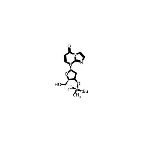 CC(C)(C)[Si](C)(C)OC1C[C@H](n2ccc(=O)n3ccnc23)O[C@@H]1CO